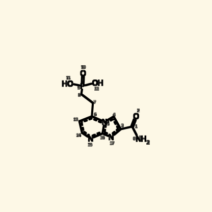 NC(=O)c1cn2c(CCP(=O)(O)O)ccnc2n1